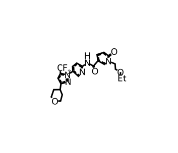 CCOCCn1cc(C(=O)Nc2ccc(-n3nc(C4CCOCC4)cc3C(F)(F)F)cn2)ccc1=O